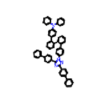 c1ccc(-c2ccc(-c3nc(-c4ccc(-c5ccccc5)cc4)n(-c4ccc(-c5ccccc5-c5ccccc5-c5ccc(N(c6ccccc6)c6ccccc6)cc5)cc4)n3)cc2)cc1